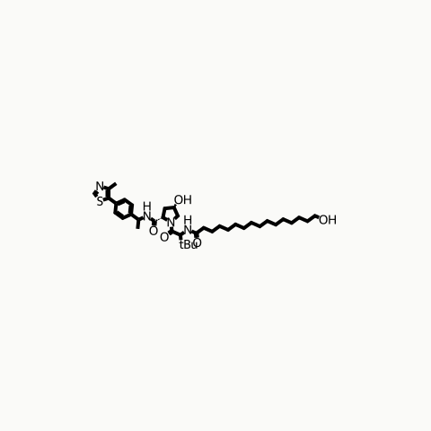 Cc1ncsc1-c1ccc(C(C)NC(=O)[C@@H]2C[C@@H](O)CN2C(=O)C(NC(=O)CCCCCCCCCCCCCCCO)C(C)(C)C)cc1